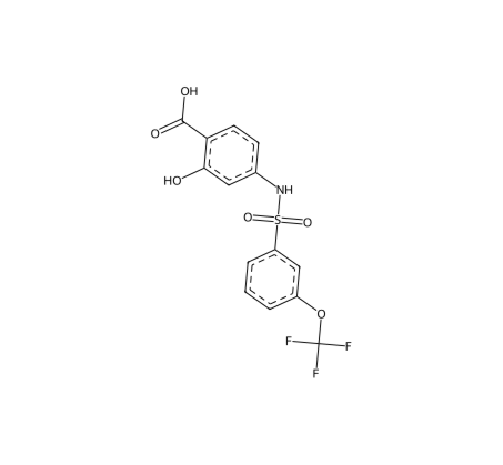 O=C(O)c1ccc(NS(=O)(=O)c2cccc(OC(F)(F)F)c2)cc1O